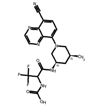 C[C@H]1C[C@@H](NC(=O)C(NC(=O)O)C(F)(F)F)CN(c2ccc(C#N)c3nccnc23)C1